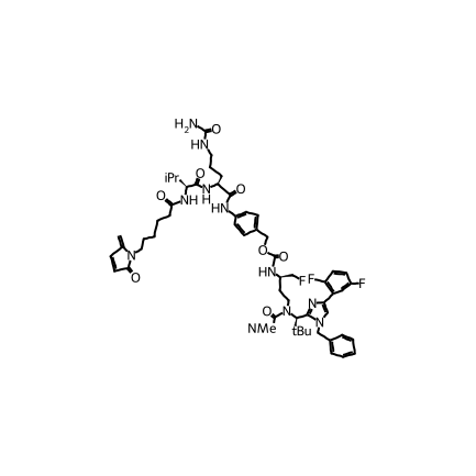 C=C1C=CC(=O)N1CCCCCC(=O)N[C@H](C(=O)N[C@@H](CCCNC(N)=O)C(=O)Nc1ccc(COC(=O)N[C@@H](CF)CCN(C(=O)NC)[C@@H](c2nc(-c3cc(F)ccc3F)cn2Cc2ccccc2)C(C)(C)C)cc1)C(C)C